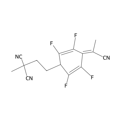 CC(C#N)=C1C(F)=C(F)C(CCC(C)(C#N)C#N)C(F)=C1F